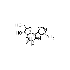 CC(C)Nc1nc2c(N)ncnc2n1[C@@H]1O[C@H](CO)[C@@H](O)[C@H]1O